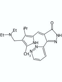 CCN(CC)Cc1c(C)[nH]c(/C=C2/C(=O)NN=C2c2cccnn2)c1C(C)C